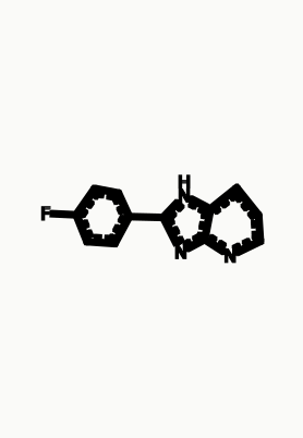 Fc1ccc(-c2nc3ncccc3[nH]2)cc1